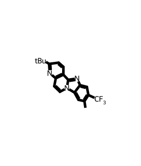 Cc1cc2c(cc1C(F)(F)F)nc1c3ccc(C(C)(C)C)nc3ccn21